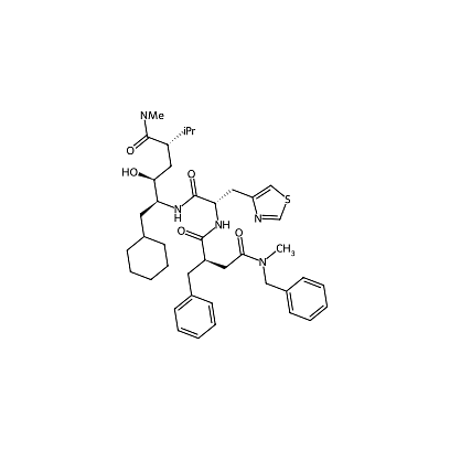 CNC(=O)[C@@H](C[C@H](O)[C@H](CC1CCCCC1)NC(=O)[C@H](Cc1cscn1)NC(=O)[C@@H](CC(=O)N(C)Cc1ccccc1)Cc1ccccc1)C(C)C